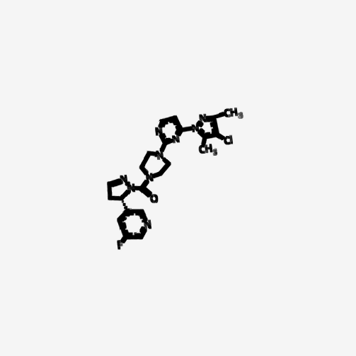 Cc1nn(-c2ccnc(N3CCN(C(=O)N4N=CC[C@H]4c4cncc(F)c4)CC3)n2)c(C)c1Cl